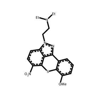 CCN(CC)CCn1nc2c3c(c([N+](=O)[O-])ccc31)Sc1c(OC)cccc1-2